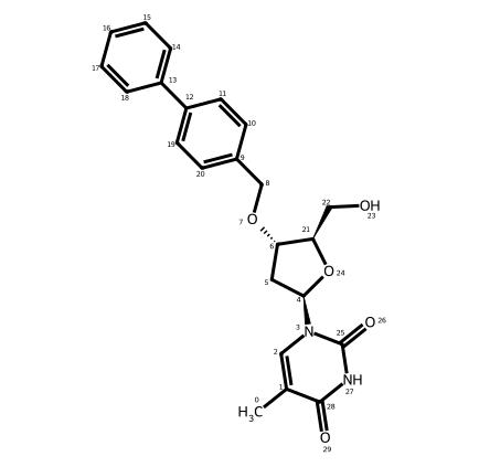 Cc1cn([C@H]2C[C@H](OCc3ccc(-c4ccccc4)cc3)[C@@H](CO)O2)c(=O)[nH]c1=O